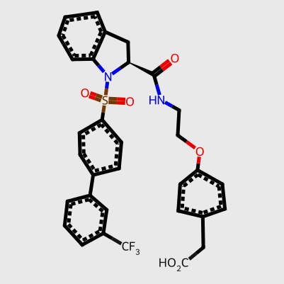 O=C(O)Cc1ccc(OCCNC(=O)[C@@H]2Cc3ccccc3N2S(=O)(=O)c2ccc(-c3cccc(C(F)(F)F)c3)cc2)cc1